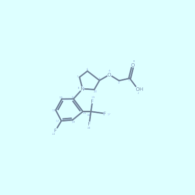 O=C(O)COC1CCN(c2ccc(F)cc2C(F)(F)F)C1